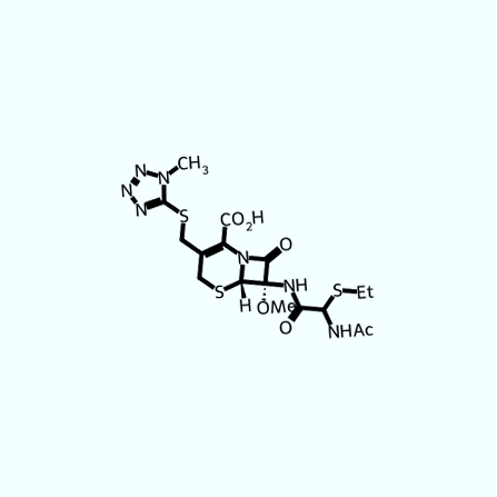 CCSC(NC(C)=O)C(=O)N[C@]1(OC)C(=O)N2C(C(=O)O)=C(CSc3nnnn3C)CS[C@H]21